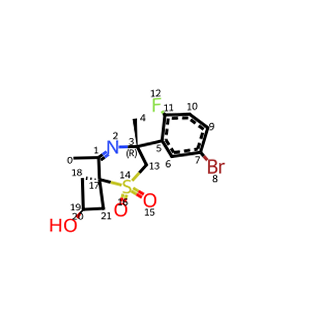 CC1=N[C@](C)(c2cc(Br)ccc2F)CS(=O)(=O)[C@]12C[C@H](O)C2